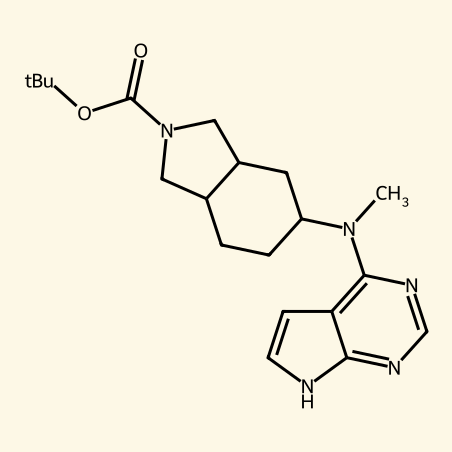 CN(c1ncnc2[nH]ccc12)C1CCC2CN(C(=O)OC(C)(C)C)CC2C1